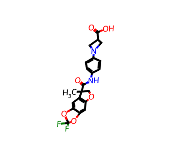 CC1(C(=O)Nc2ccc(N3CC(C(=O)O)C3)cc2)COc2cc3c(cc21)OC(F)(F)O3